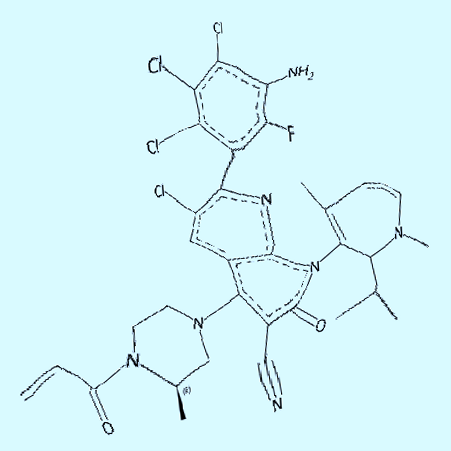 C=CC(=O)N1CCN(c2c(C#N)c(=O)n(C3=C(C)C=CN(C)C3C(C)C)c3nc(-c4c(F)c(N)c(Cl)c(Cl)c4Cl)c(Cl)cc23)C[C@H]1C